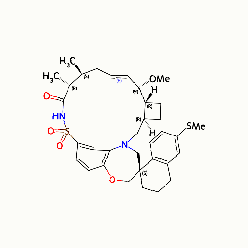 CO[C@H]1/C=C/C[C@H](C)[C@@H](C)C(=O)NS(=O)(=O)c2ccc3c(c2)N(C[C@@H]2CC[C@H]21)C[C@@]1(CCCc2cc(SC)ccc21)CO3